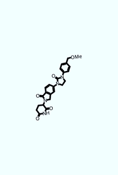 COCc1ccc(N2CCN(c3ccc4c(c3)CN(C3CCC(=O)NC3=O)C4=O)C2=O)cc1